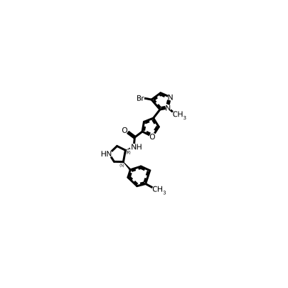 Cc1ccc([C@H]2CNC[C@@H]2NC(=O)c2cc(-c3c(Br)cnn3C)co2)cc1